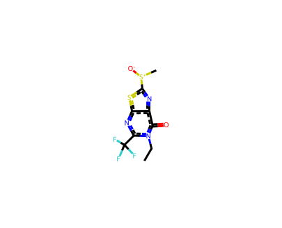 CCn1c(C(F)(F)F)nc2sc([S+](C)[O-])nc2c1=O